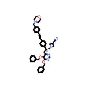 N#CC1CN(C[C@@H](Cc2ncnc(OCc3ccccc3)c2OCc2ccccc2)c2ccc(C#Cc3ccc(CN4CCOCC4)cc3)cc2)C1